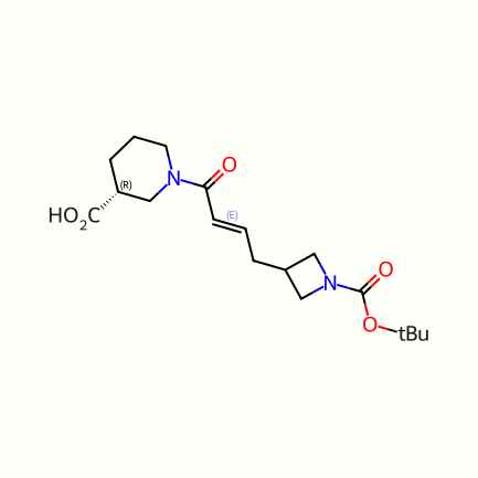 CC(C)(C)OC(=O)N1CC(C/C=C/C(=O)N2CCC[C@@H](C(=O)O)C2)C1